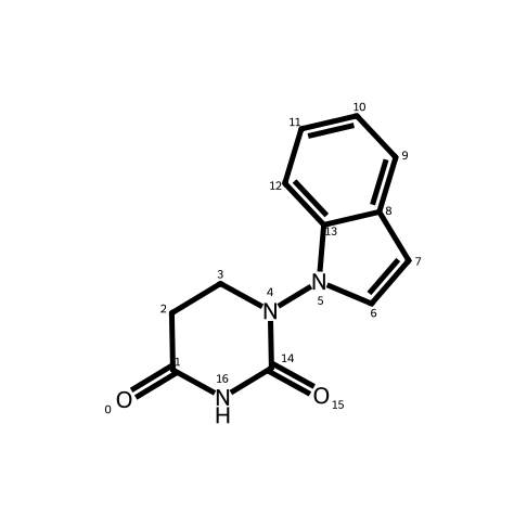 O=C1CCN(n2ccc3ccccc32)C(=O)N1